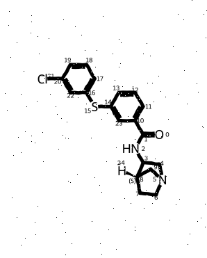 O=C(NC1CN2CC[C@H]1C2)c1cccc(Sc2cccc(Cl)c2)c1